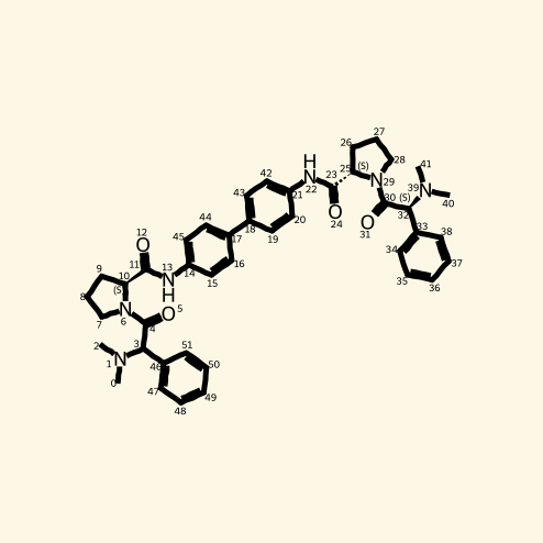 CN(C)C(C(=O)N1CCC[C@H]1C(=O)Nc1ccc(-c2ccc(NC(=O)[C@@H]3CCCN3C(=O)[C@H](c3ccccc3)N(C)C)cc2)cc1)c1ccccc1